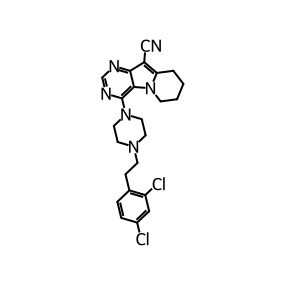 N#Cc1c2n(c3c(N4CCN(CCc5ccc(Cl)cc5Cl)CC4)ncnc13)CCCC2